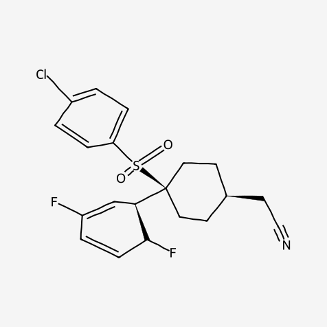 N#CC[C@H]1CC[C@@]([C@@H]2C=C(F)C=CC2F)(S(=O)(=O)c2ccc(Cl)cc2)CC1